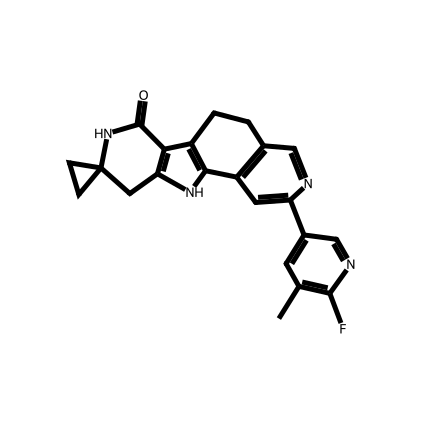 Cc1cc(-c2cc3c(cn2)CCc2c-3[nH]c3c2C(=O)NC2(CC2)C3)cnc1F